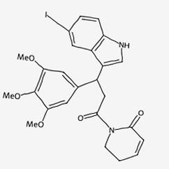 COc1cc(C(CC(=O)N2CCC=CC2=O)c2c[nH]c3ccc(I)cc23)cc(OC)c1OC